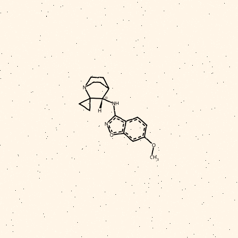 COc1ccc2c(N[C@H]3C4CCN(CC4)C34CC4)noc2c1